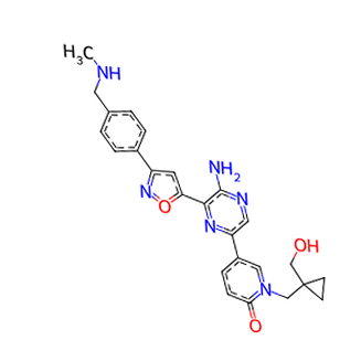 CNCc1ccc(-c2cc(-c3nc(-c4ccc(=O)n(CC5(CO)CC5)c4)cnc3N)on2)cc1